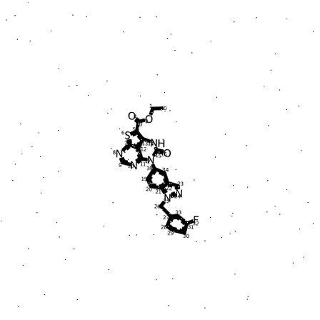 CCOC(=O)c1sc2ncnc3c2c1NC(=O)N3c1ccc2c(cnn2Cc2cccc(F)c2)c1